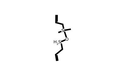 C=CC[SiH2]O[Si](C)(C)CC=C